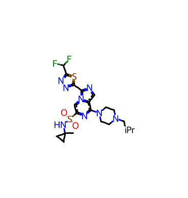 CC(C)CN1CCN(c2nc(S(=O)(=O)NC3(C)CC3)cn3c(-c4nnc(C(F)F)s4)ncc23)CC1